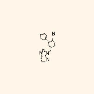 N#Cc1ccc(Cn2nnc3cccnc32)cc1-c1cc[c]cc1